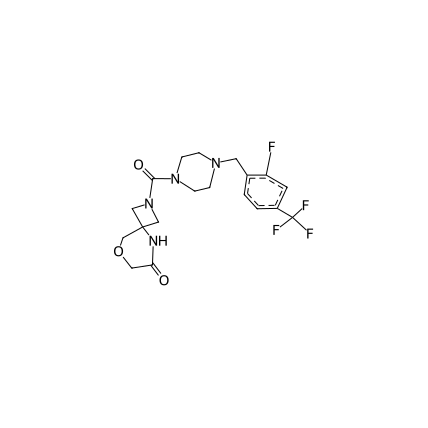 O=C1COCC2(CN(C(=O)N3CCN(Cc4ccc(C(F)(F)F)cc4F)CC3)C2)N1